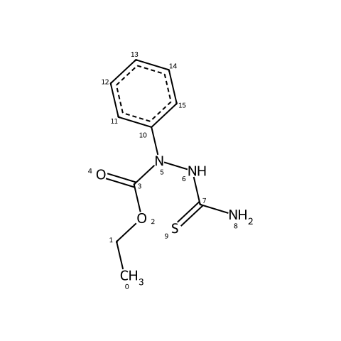 CCOC(=O)N(NC(N)=S)c1ccccc1